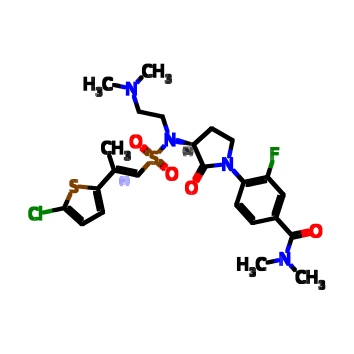 C/C(=C\S(=O)(=O)N(CCN(C)C)[C@H]1CCN(c2ccc(C(=O)N(C)C)cc2F)C1=O)c1ccc(Cl)s1